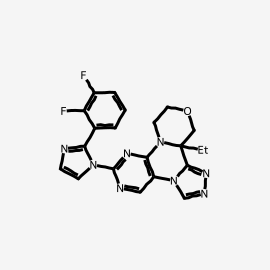 CCC12COCCN1c1nc(-n3ccnc3-c3cccc(F)c3F)ncc1-n1cnnc12